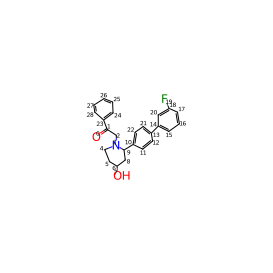 O=C(CN1CCC(O)CC1c1ccc(-c2cccc(F)c2)cc1)c1ccccc1